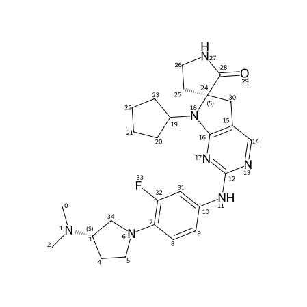 CN(C)[C@H]1CCN(c2ccc(Nc3ncc4c(n3)N(C3CCCC3)[C@]3(CCNC3=O)C4)cc2F)C1